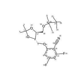 CC1(C)O[C@@H](COc2cc(F)cc(F)c2C#N)[C@H](CO[Si](C)(C)C(C)(C)C)O1